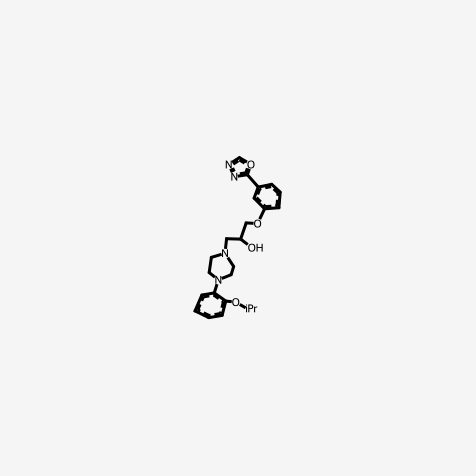 CC(C)Oc1ccccc1N1CCN(CC(O)COc2cccc(-c3nnco3)c2)CC1